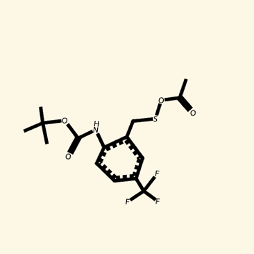 CC(=O)OSCc1cc(C(F)(F)F)ccc1NC(=O)OC(C)(C)C